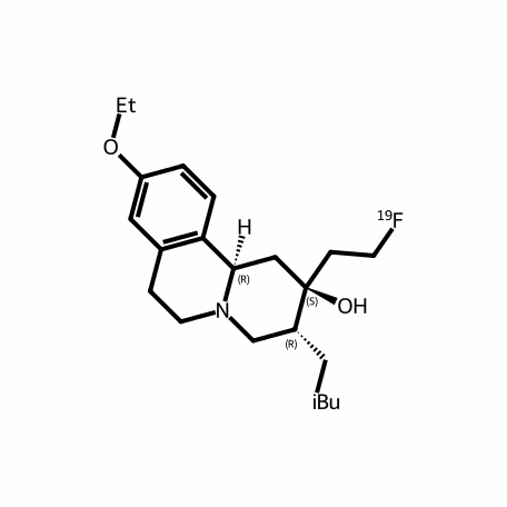 CCOc1ccc2c(c1)CCN1C[C@@H](CC(C)CC)[C@@](O)(CC[19F])C[C@H]21